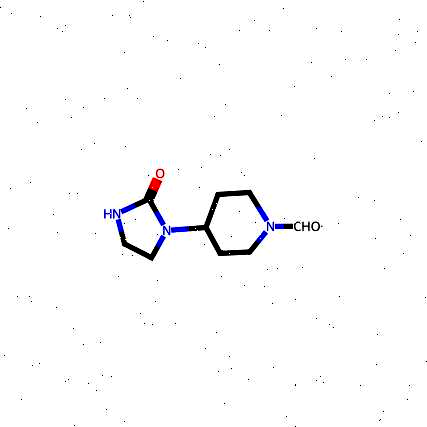 O=[C]N1CCC(N2CCNC2=O)CC1